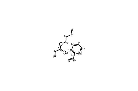 C=CC(=O)OCCCC.C=Cc1ccccn1